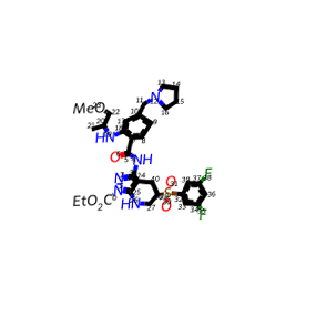 CCOC(=O)n1nc(NC(=O)c2ccc(CN3CCCC3)cc2NC(C)COC)c2c1NC[C@H](S(=O)(=O)c1cc(F)cc(F)c1)C2